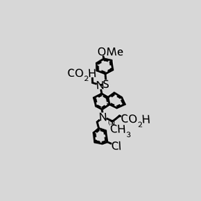 COc1ccc(SN(CC(=O)O)c2ccc(N(Cc3cccc(Cl)c3)[C@@H](C)CC(=O)O)c3ccccc23)cc1